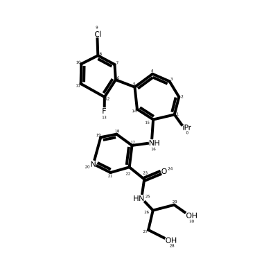 CC(C)C1=CC=C=C(c2cc(Cl)ccc2F)C=C1Nc1ccncc1C(=O)NC(CO)CO